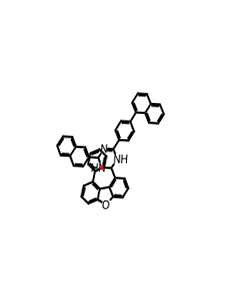 c1ccc(-c2cccc3oc4cccc(C5NC(c6ccc(-c7cccc8ccccc78)cc6)=NC(c6ccc7ccccc7c6)N5)c4c23)cc1